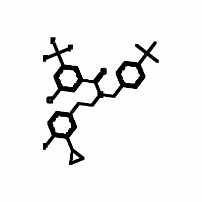 CC(C)(C)c1ccc(CN(CCc2ccc(F)c(C3CC3)c2)C(=O)c2cc(Cl)cc(C(F)(F)F)c2)cc1